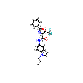 CCCN1CCc2cc(NC(=O)c3nc(-c4ccccc4)oc3C(F)(F)F)ccc21